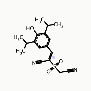 CC(C)c1cc(/C=C(\C#N)S(=O)(=O)CC#N)cc(C(C)C)c1O